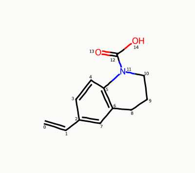 C=Cc1ccc2c(c1)CCCN2C(=O)O